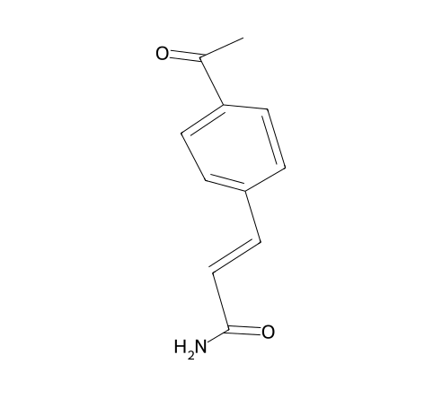 CC(=O)c1ccc(C=CC(N)=O)cc1